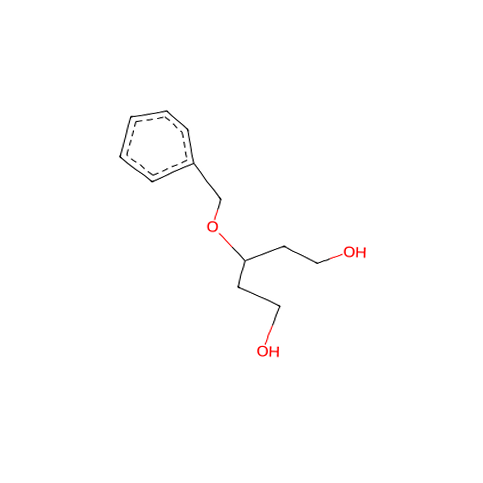 OCCC(CCO)OCc1ccccc1